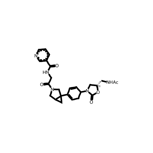 CC(=O)NC[C@H]1CN(C2C=CC(C34CC3CN(C(=O)CNC(=O)c3cccnc3)C4)=CC2)C(=O)O1